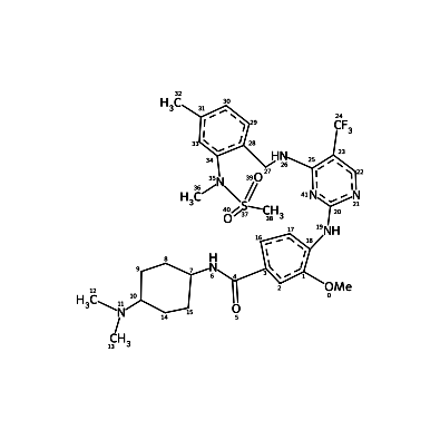 COc1cc(C(=O)NC2CCC(N(C)C)CC2)ccc1Nc1ncc(C(F)(F)F)c(NCc2ccc(C)cc2N(C)S(C)(=O)=O)n1